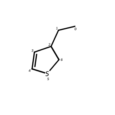 CCC1C=CSC1